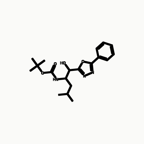 CC(C)CC(NC(=O)OC(C)(C)C)C(O)c1nnc(-c2ccccc2)o1